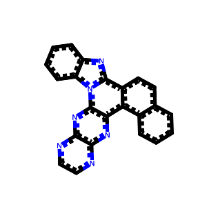 c1ccc2c(c1)ccc1c2c2nc3nccnc3nc2n2c3ccccc3nc12